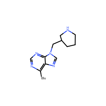 CC(C)(C)c1ncnc2c1ncn2CC1CCCNC1